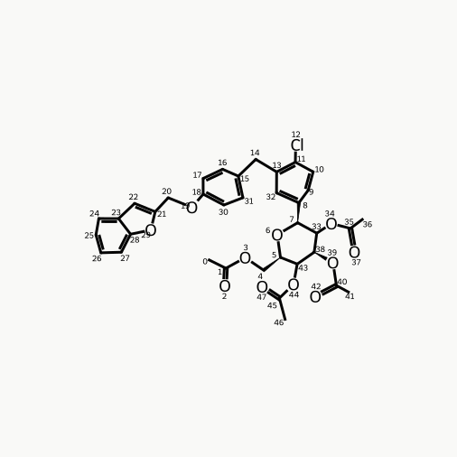 CC(=O)OC[C@H]1O[C@@H](c2ccc(Cl)c(Cc3ccc(OCc4cc5ccccc5o4)cc3)c2)C(OC(C)=O)[C@@H](OC(C)=O)C1OC(C)=O